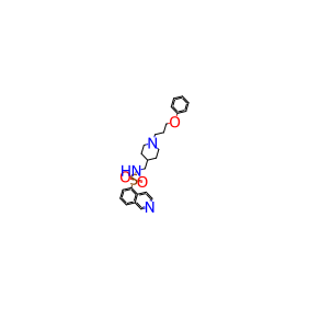 O=S(=O)(NCC1CCN(CCCOc2ccccc2)CC1)c1cccc2cnccc12